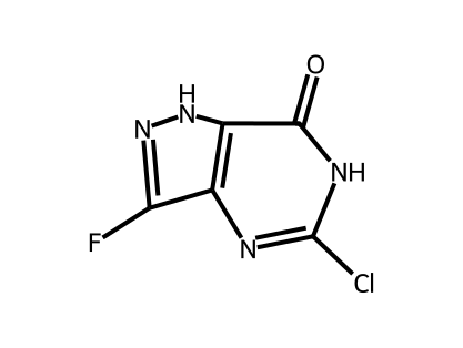 O=c1[nH]c(Cl)nc2c(F)n[nH]c12